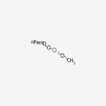 C=CCc1ccc(CC[C@H]2CC[C@H](c3ccc(COCCCCC)cc3)CC2)cc1